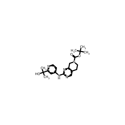 CC(C)(C)OC(=O)N1CCc2cnc(Nc3ccnc(C(C)(C)O)c3)nc2C1